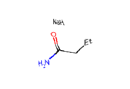 CCCC(N)=O.[NaH]